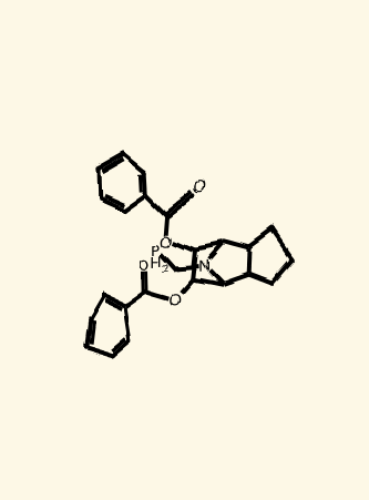 O=C(OC1C(OC(=O)c2ccccc2)C2C3CCCC3C1N2CP)c1ccccc1